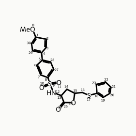 COc1ccc(-c2ccc(S(=O)(=O)NC3CC(CSc4ccccc4)OC3=O)cc2)cc1